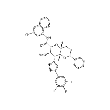 CO[C@@H]1[C@@H](n2cc(-c3cc(F)c(F)c(F)c3)nn2)[C@H]2OC(c3ccccc3)OC[C@H]2O[C@H]1C(=O)Nc1cc(Cl)cc2cccnc12